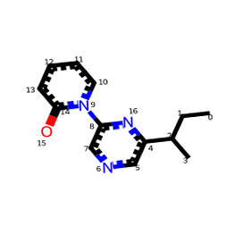 CCC(C)c1cncc(-n2ccccc2=O)n1